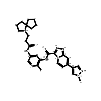 Cc1ncc(NC(=O)CCN2CCCC23CCCC3)cc1NC(=O)c1nnc2cc(-c3cnn(C)c3)ccn12